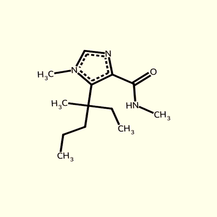 CCCC(C)(CC)c1c(C(=O)NC)ncn1C